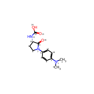 CN(C)c1ccc(N2CC[C@H](NC(=O)O)C2=O)cc1